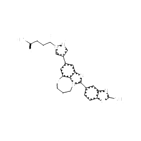 C[C@@H](CCC(N)=O)n1cc(-c2cc3c4c(c2)nc(-c2ccc5oc(N)nc5c2)n4CCCO3)cn1